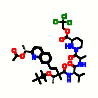 CC(=O)O[C@H](C)c1ccc2ccc(/C=C/C(C)(C(=O)N[C@H](C(=O)NC(C)C(=O)N3CCC[C@@H](C(=O)OCC(Cl)(Cl)Cl)N3)C(C)C)[C@H](C)O[Si](C)(C)C(C)(C)C)cc2n1